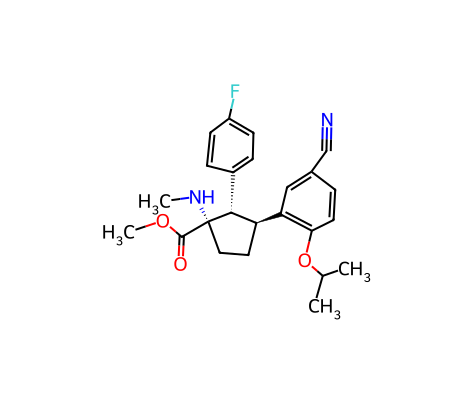 CN[C@@]1(C(=O)OC)CC[C@H](c2cc(C#N)ccc2OC(C)C)[C@H]1c1ccc(F)cc1